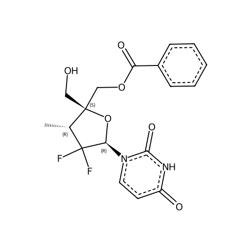 C[C@H]1C(F)(F)[C@H](n2ccc(=O)[nH]c2=O)O[C@@]1(CO)COC(=O)c1ccccc1